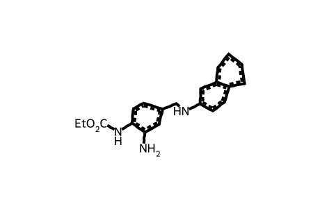 CCOC(=O)Nc1ccc(CNc2ccc3ccccc3c2)cc1N